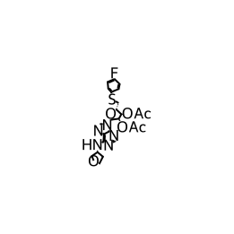 CC(=O)O[C@@H]1[C@@H](OC(C)=O)[C@@H](CSc2ccc(F)cc2)O[C@H]1n1cnc2c(N[C@@H]3CCOC3)ncnc21